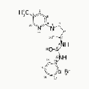 Cc1ccc(N2CC[C@@H](NC(=O)Nc3ccccc3Br)C2)nc1